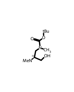 CN[C@H](CO)CN(C)C(=O)OC(C)(C)C